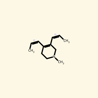 C/C=C\C1=C(/C=C\C)CN(C)CC1